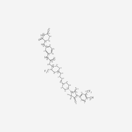 CC1(C)C(=O)N(c2cnc(C#N)c(C(F)(F)F)c2)C(=S)N1[C@H]1CC[C@H](OCCCN2CCN(CC(=O)Nc3cccc(NC4CCC(=O)NC4=O)c3)[C@@H](C(F)(F)F)C2)CC1